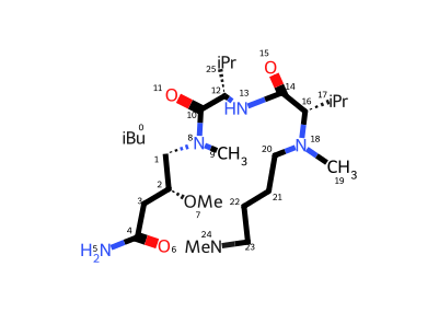 CC[C@H](C)[C@@H]([C@@H](CC(N)=O)OC)N(C)C(=O)[C@@H](NC(=O)[C@H](C(C)C)N(C)CCCCNC)C(C)C